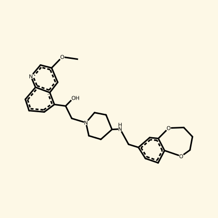 COc1cnc2cccc(C(O)CN3CCC(NCc4ccc5c(c4)OCCCO5)CC3)c2c1